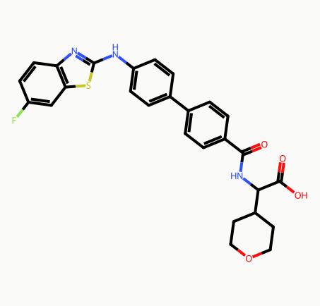 O=C(NC(C(=O)O)C1CCOCC1)c1ccc(-c2ccc(Nc3nc4ccc(F)cc4s3)cc2)cc1